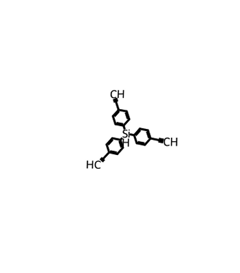 C#Cc1ccc([SiH](c2ccc(C#C)cc2)c2ccc(C#C)cc2)cc1